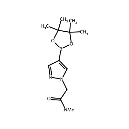 CNC(=O)Cn1cc(B2OC(C)(C)C(C)(C)O2)cn1